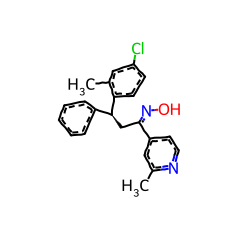 Cc1cc(/C(C[C@@H](c2ccccc2)c2ccc(Cl)cc2C)=N\O)ccn1